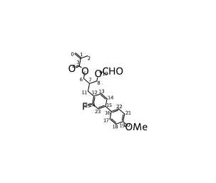 C=C(C)C(=O)OCC(COC=O)Cc1ccc(-c2ccc(OC)cc2)cc1F